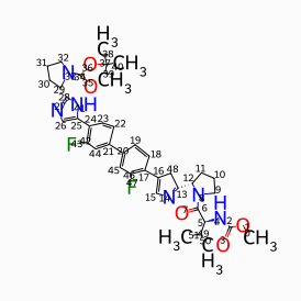 COC(=O)N[C@H](C(=O)N1CCC[C@H]1C1=NC=C(c2ccc(-c3ccc(-c4cnc([C@@H]5CCCN5C(=O)OC(C)(C)C)[nH]4)c(F)c3)cc2F)C1)C(C)C